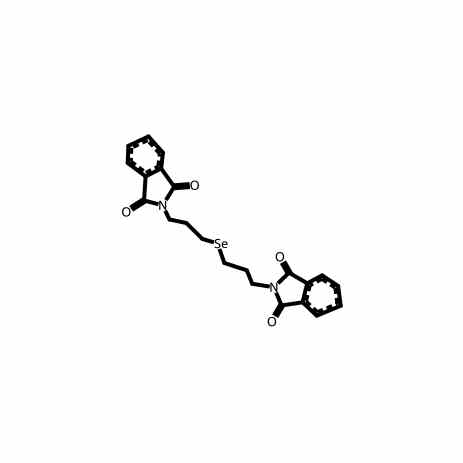 O=C1c2ccccc2C(=O)N1CCC[Se]CCCN1C(=O)c2ccccc2C1=O